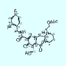 COCCN1CCCN2C(=O)c3c(CO)c(=O)c(C(=O)NCc4ccc(F)cc4F)cn3C[C@@H]12